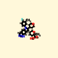 Cc1cc(-n2c(C3CCOCC3)c([C@H]3CC[C@](C)(C(=O)O)OC3)c3cc4[nH]ncc4cc32)ccc1F